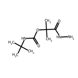 CC(C)(C)NC(=O)OC(C)(C)C(=O)NN